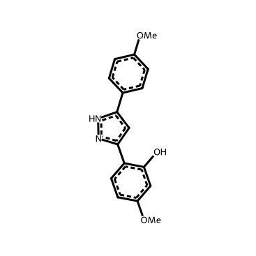 COc1ccc(-c2cc(-c3ccc(OC)cc3O)n[nH]2)cc1